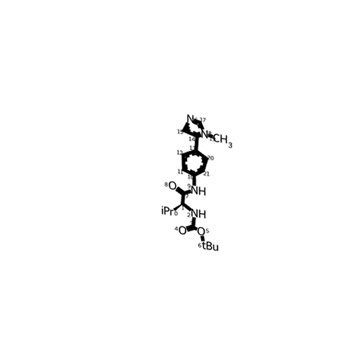 CC(C)[C@H](NC(=O)OC(C)(C)C)C(=O)Nc1ccc(-c2cncn2C)cc1